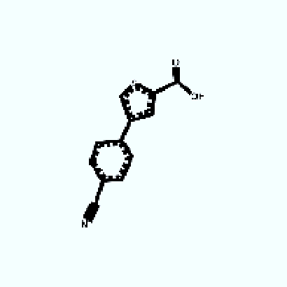 N#Cc1ccc(-c2csc(C(=O)O)c2)cc1